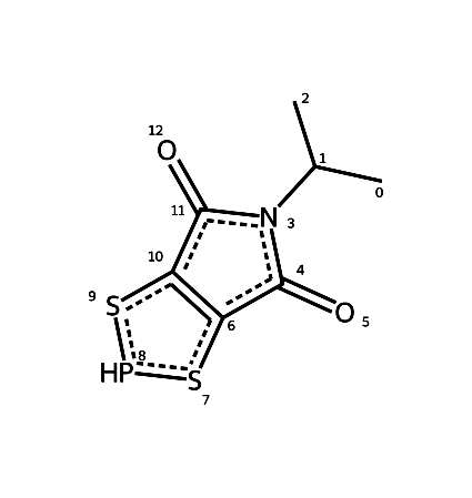 CC(C)n1c(=O)c2s[pH]sc=2c1=O